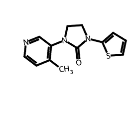 Cc1ccncc1N1CCN(c2cccs2)C1=O